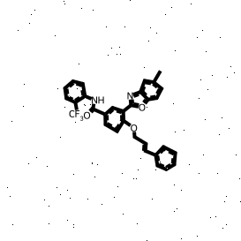 Cc1ccc2oc(-c3cc(C(=O)Nc4ccccc4C(F)(F)F)ccc3OCC=Cc3ccccc3)nc2c1